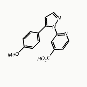 COc1ccc(-c2ccnn2-c2cc(C(=O)O)ccn2)cc1